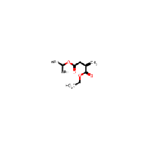 C=C(CC(=O)OC(CCCC)CCCC)C(=O)OCC(=O)O